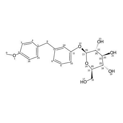 COc1ccc(Cc2cccc(O[C@@H]3O[C@H](CO)[C@@H](O)[C@H](O)[C@H]3O)c2)cc1